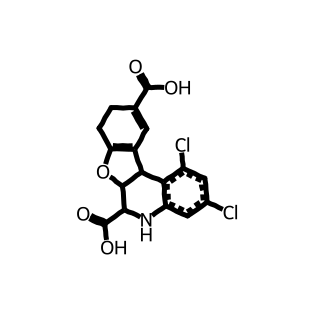 O=C(O)C1=CC2=C(CC1)OC1C(C(=O)O)Nc3cc(Cl)cc(Cl)c3C21